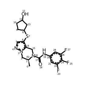 C[C@H]1Cn2ncc(SC3CCC(O)C3)c2CN1C(=O)Nc1cc(F)c(F)c(F)c1